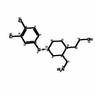 NCC1C[C@H](Oc2ccc(Cl)c(Cl)c2)CCN1CCO